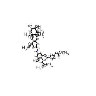 COC(=O)Cn1cc(COc2cc(/C=C/c3cc4c(c(OC)c3)O[C@]3(C)C[C@@H](O)[C@@H](O)C(C)(C)[C@H]3C4)cc(O)c2CC=C(C)C)nn1